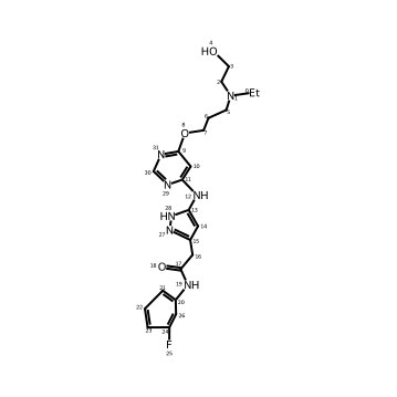 CCN(CCO)CCCOc1cc(Nc2cc(CC(=O)Nc3cccc(F)c3)n[nH]2)ncn1